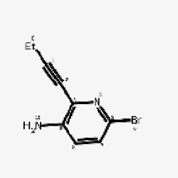 CCC#Cc1nc(Br)ccc1N